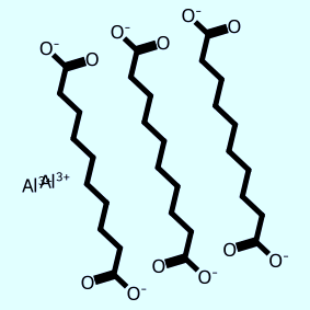 O=C([O-])CCCCCCCCC(=O)[O-].O=C([O-])CCCCCCCCC(=O)[O-].O=C([O-])CCCCCCCCC(=O)[O-].[Al+3].[Al+3]